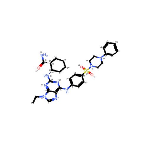 CCn1cnc2c(Nc3ccc(S(=O)(=O)N4CCN(c5ccccc5)CC4)cc3)nc(N[C@H]3CCCC[C@H]3C(N)=O)nc21